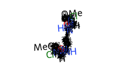 COc1cccc2c(C(=O)N3[C@@H]4C[C@@H]4C[C@H]3c3nc(C#Cc4ccc5cc(-c6c[nH]c([C@@H]7C[C@H]8C[C@H]8N7C(=O)c7nc(Cl)cc8c(OC)cccc78)n6)ccc5c4)c[nH]3)nc(Cl)cc12